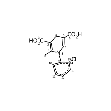 CC1=C(C(=O)O)CC(C(=O)O)=CN1c1ccccc1Cl